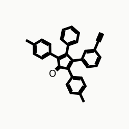 C#Cc1cccc(C2=C(c3ccc(C)cc3)C(=O)C(c3ccc(C)cc3)=C2c2ccccc2)c1